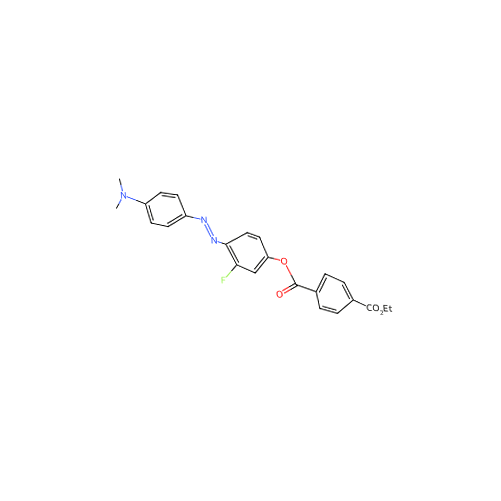 CCOC(=O)c1ccc(C(=O)Oc2ccc(/N=N/c3ccc(N(C)C)cc3)c(F)c2)cc1